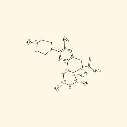 CC(=O)NC(=O)[C@]1(C(C)=O)Cc2cc([N+](=O)[O-])c(N3CCN(C)CC3)cc2N2C[C@@H](C)O[C@@H](C)[C@@H]21